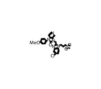 COc1ccc(-n2c(=O)n(Cc3nc4cc(Cl)ccc4n3CCCS(C)(=O)=O)c3cnccc32)cc1